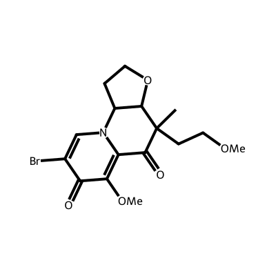 COCCC1(C)C(=O)c2c(OC)c(=O)c(Br)cn2C2CCOC21